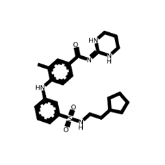 Cc1cc(C(=O)N=C2NCCCN2)ccc1Nc1cccc(S(=O)(=O)NCCC2CCCC2)c1